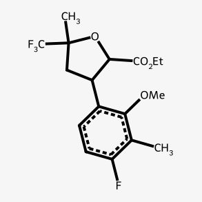 CCOC(=O)C1OC(C)(C(F)(F)F)CC1c1ccc(F)c(C)c1OC